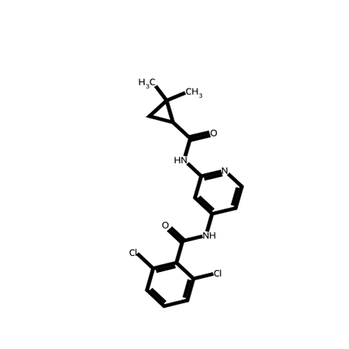 CC1(C)CC1C(=O)Nc1cc(NC(=O)c2c(Cl)cccc2Cl)ccn1